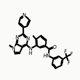 Cc1ccc(C(=O)Nc2cccc(C(F)(F)F)c2)cc1Nc1nc(-c2ccncc2)nc2c1ccn2C